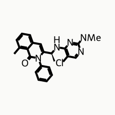 CNc1ncc(Cl)c(N[C@@H](C)c2cc3cccc(C)c3c(=O)n2-c2ccccc2)n1